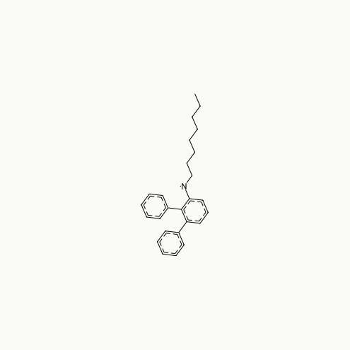 CCCCCCCC[N]c1cccc(-c2ccccc2)c1-c1ccccc1